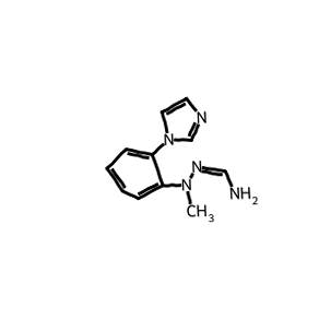 CN(/N=C\N)c1ccccc1-n1ccnc1